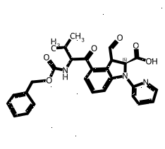 CC(C)C(NC(=O)OCc1ccccc1)C(=O)c1cccc2c1C(C=O)[C@@H](C(=O)O)N2c1ccccn1